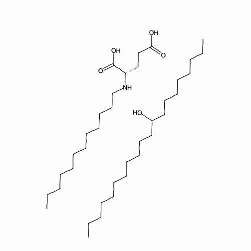 CCCCCCCCCCCC(O)CCCCCCCC.CCCCCCCCCCCCN[C@@H](CCC(=O)O)C(=O)O